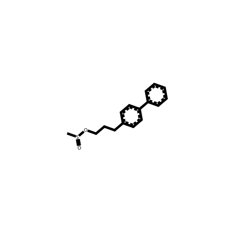 CS(=O)OCCCc1ccc(-c2ccccc2)cc1